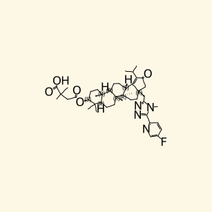 CC(C)C1=C2[C@H]3CC[C@@H]4[C@@]5(C)CC[C@H](OC(=O)CC(C)(C)C(=O)O)C(C)(C)[C@@H]5CC[C@@]4(C)[C@]3(C)CC[C@@]2(Cc2nnc(-c3ccc(F)cn3)n2C)CC1=O